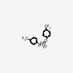 FC(F)(F)c1ccc([O][Zr+2][O]c2ccc(C(F)(F)F)cc2)cc1.[Cl-].[Cl-]